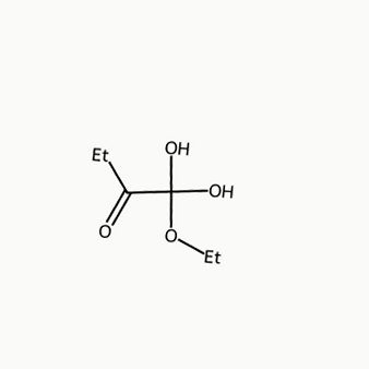 CCOC(O)(O)C(=O)CC